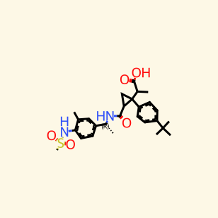 Cc1cc([C@@H](C)NC(=O)C2CC2(c2ccc(C(C)(C)C)cc2)C(C)C(=O)O)ccc1NS(C)(=O)=O